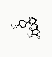 CN1C(=O)SC(=Cc2ccnc(N3CCC(N)CC3)n2)C1=O